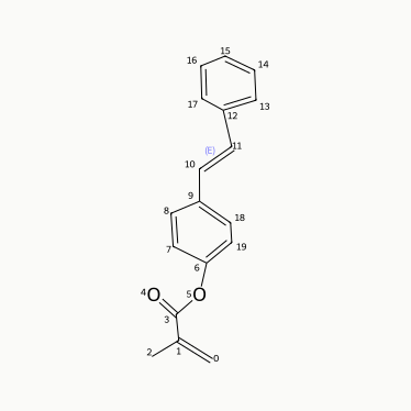 C=C(C)C(=O)Oc1ccc(/C=C/c2ccccc2)cc1